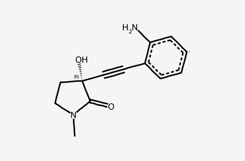 CN1CC[C@@](O)(C#Cc2cc[c]cc2N)C1=O